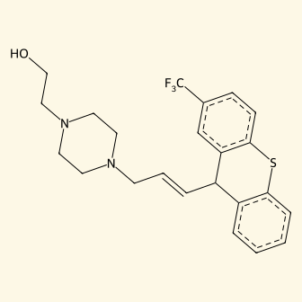 OCCN1CCN(CC=CC2c3ccccc3Sc3ccc(C(F)(F)F)cc32)CC1